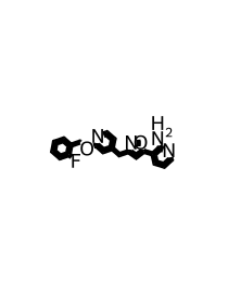 Nc1ncccc1-c1cc(Cc2ccnc(OCc3ccccc3F)c2)no1